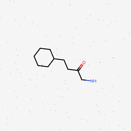 [NH]CC(=O)CCC1CCCCC1